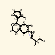 CCN(C)/C=N/c1cc2c(cc1C)C(c1sccc1C)OCC2